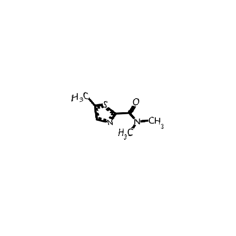 Cc1cnc(C(=O)N(C)C)s1